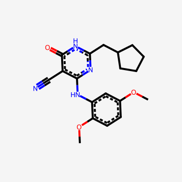 COc1ccc(OC)c(Nc2nc(CC3CCCC3)[nH]c(=O)c2C#N)c1